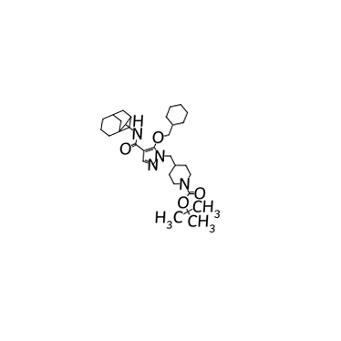 CC(C)(C)OC(=O)N1CCC(Cn2ncc(C(=O)NC3C4CC5CCCC3(C5)C4)c2OCC2CCCCC2)CC1